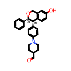 O=CC1CCN(c2ccc([C@@H]3c4ccc(O)cc4CO[C@@H]3c3ccccc3)cc2)CC1